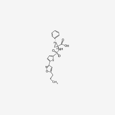 CCCc1cc(-c2ccc(S(=O)(=O)N[C@@]3(C(=O)O)C[C@@H]3c3ccccc3)s2)no1